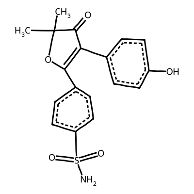 CC1(C)OC(c2ccc(S(N)(=O)=O)cc2)=C(c2ccc(O)cc2)C1=O